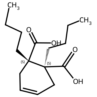 CCCC[C@]1(C(=O)O)CC=CC[C@]1(CCCC)C(=O)O